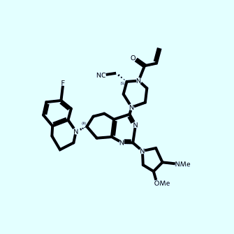 C=CC(=O)N1CCN(c2nc(N3CC(NC)C(OC)C3)nc3c2CC[C@@H](N2CCCc4ccc(F)cc42)C3)C[C@@H]1CC#N